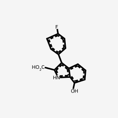 O=C(O)c1[nH]c2c(O)cccc2c1-c1ccc(F)cc1